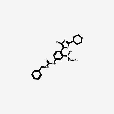 CC(C)(C)N[S+]([O-])c1cc(NC(=O)NCc2ccccc2)ccc1-c1sc(C2CCCCC2)nc1F